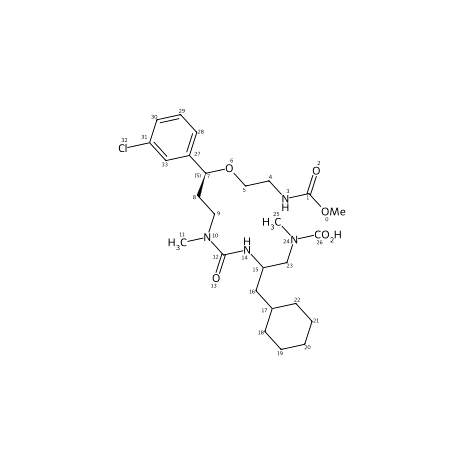 COC(=O)NCCO[C@@H](CCN(C)C(=O)NC(CC1CCCCC1)CN(C)C(=O)O)c1cccc(Cl)c1